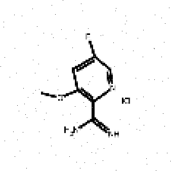 COc1cc(F)cnc1C(=N)N.Cl